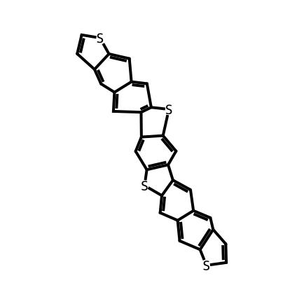 c1cc2cc3cc4c(cc3cc2s1)sc1cc2c(cc14)sc1cc3cc4sccc4cc3cc12